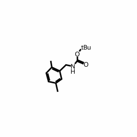 Cc1ccc(C)c(CNC(=O)OC(C)(C)C)c1